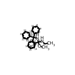 CCNC(NC(c1ccccc1)(c1ccccc1)c1ccccc1)(OC)C(=O)O